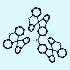 c1ccc2c(c1)Sc1ccccc1C21c2ccccc2-c2cc(N(c3ccc4c(c3)C3(c5ccccc5Sc5ccccc53)c3ccccc3-4)c3ccc4c(c3)C3(c5ccccc5Sc5ccccc53)c3ccccc3-4)ccc21